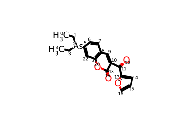 CC[As](CC)c1ccc2cc(C(=O)c3ccco3)c(=O)oc2c1